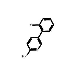 Cc1ccc(-c2ccc[c]c2Cl)cn1